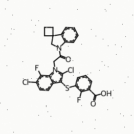 O=C(O)c1cccc(Sc2c(Cl)n(CC(=O)N3CC4(CCC4)c4ccccc43)c3c(F)c(Cl)ccc23)c1F